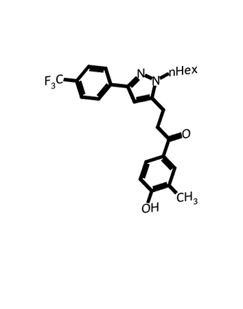 CCCCCCn1nc(-c2ccc(C(F)(F)F)cc2)cc1CCC(=O)c1ccc(O)c(C)c1